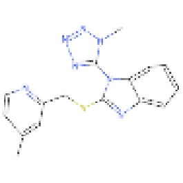 Cc1ccnc(CSc2nc3ccccc3n2-c2nnnn2C)c1